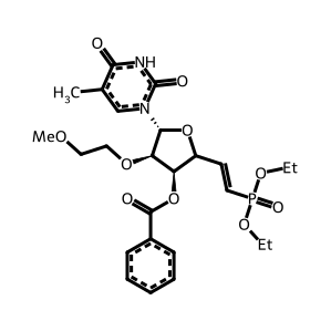 CCOP(=O)(/C=C/C1O[C@@H](n2cc(C)c(=O)[nH]c2=O)[C@H](OCCOC)[C@@H]1OC(=O)c1ccccc1)OCC